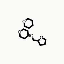 C1CCOCC1.C1CCOCC1.OCC1CCCO1